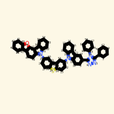 c1ccc(-c2nnc(-c3ccc4c(c3)c3ccccc3n4-c3ccc4sc5ccc(-n6c7ccccc7c7c8oc9ccccc9c8ccc76)cc5c4c3)n2-c2ccccc2)cc1